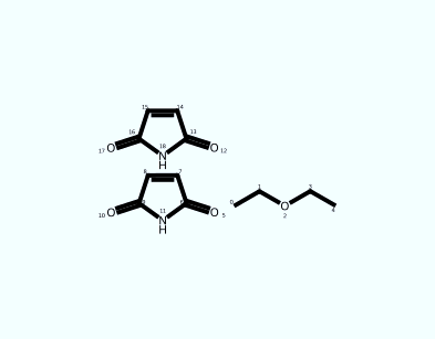 CCOCC.O=C1C=CC(=O)N1.O=C1C=CC(=O)N1